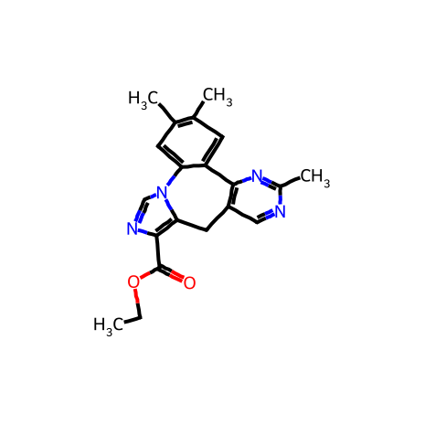 CCOC(=O)c1ncn2c1Cc1cnc(C)nc1-c1cc(C)c(C)cc1-2